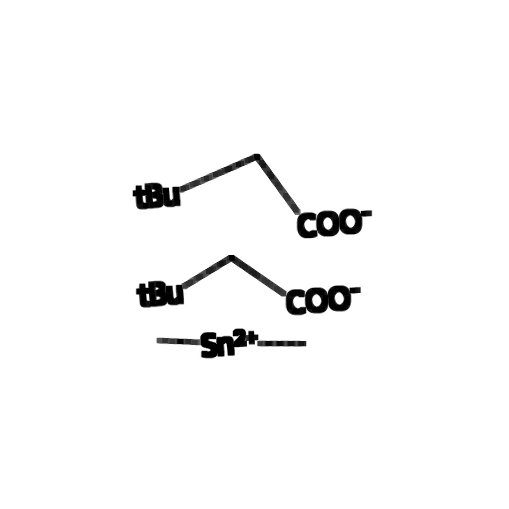 CC(C)(C)CC(=O)[O-].CC(C)(C)CC(=O)[O-].[CH3][Sn+2][CH3]